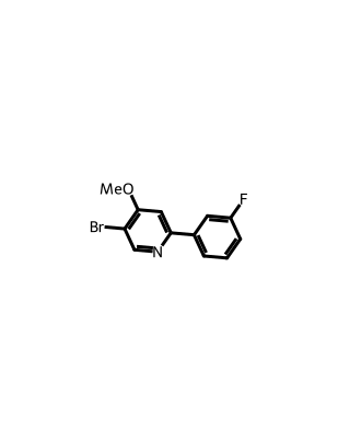 COc1cc(-c2cccc(F)c2)ncc1Br